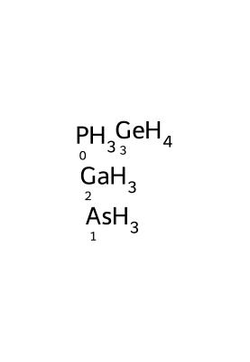 P.[AsH3].[GaH3].[GeH4]